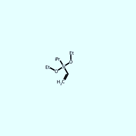 C=C[Si](OCC)(OCC)C(C)C